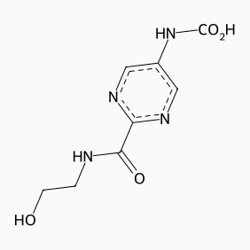 O=C(O)Nc1cnc(C(=O)NCCO)nc1